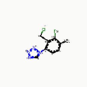 CCc1ccc(-n2cnnn2)c(CCl)c1F